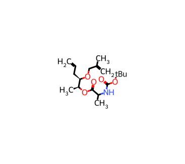 C=CC[C@@H](OCC(=C)C)[C@H](C)OC(=O)C(C)NC(=O)OC(C)(C)C